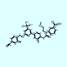 COCCn1c(Cc2ccc(-c3cc(C(F)(F)F)cc(OCc4ccc(C#N)cc4F)n3)cc2F)nc2ccc(C(=O)O)cc21